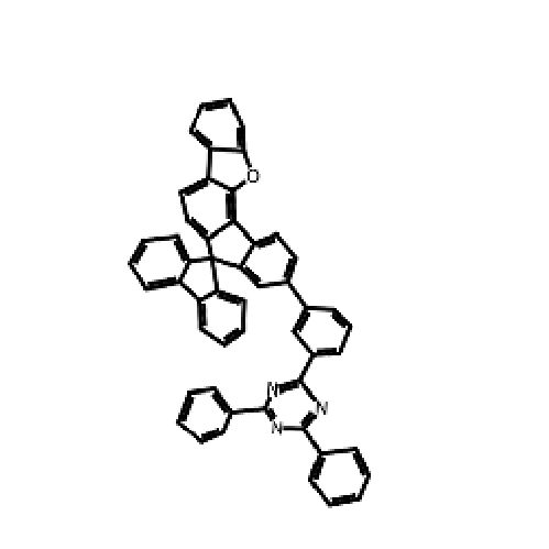 c1ccc(-c2nc(-c3ccccc3)nc(-c3cccc(-c4ccc5c(c4)C4(c6ccccc6-c6ccccc64)c4ccc6c(oc7ccccc76)c4-5)c3)n2)cc1